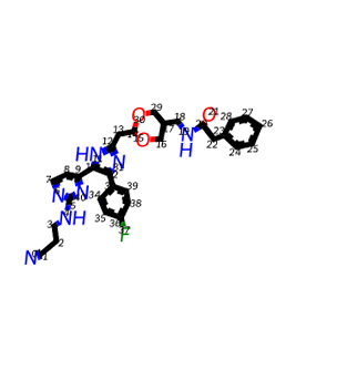 N#CCCNc1nccc(-c2[nH]c(CC3OCC(CNC(=O)Cc4ccccc4)CO3)nc2-c2ccc(F)cc2)n1